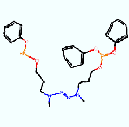 CN(CCCOPOc1ccccc1)/N=N/N(C)CCCOP(Oc1ccccc1)Oc1ccccc1